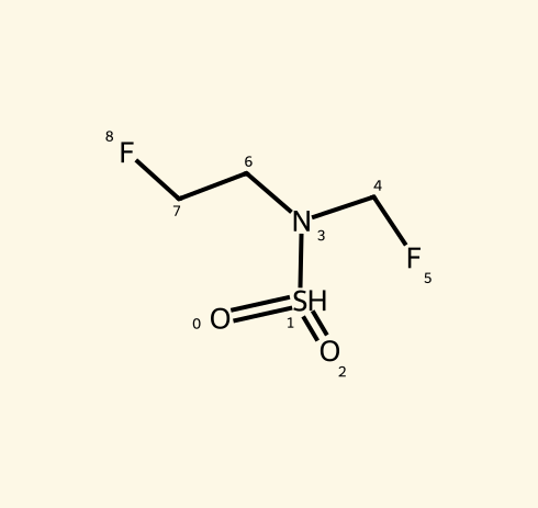 O=[SH](=O)N(CF)CCF